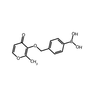 Cc1occc(=O)c1OCc1ccc(B(O)O)cc1